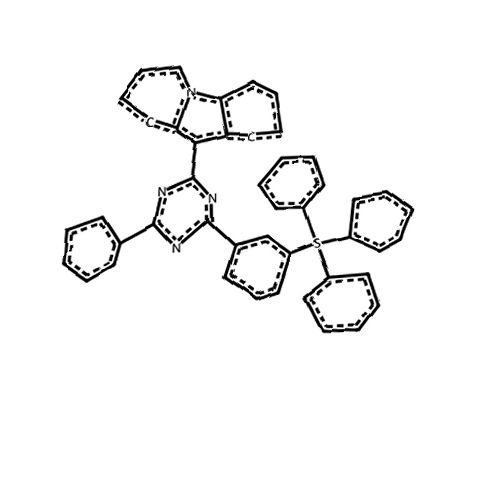 c1ccc(-c2nc(-c3cccc(S(c4ccccc4)(c4ccccc4)c4ccccc4)c3)nc(-c3c4ccccc4n4ccccc34)n2)cc1